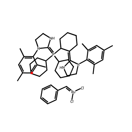 Cc1cc(C)c(N2CCNC2=C2CCCCC2P(=C2NCCN2c2c(C)cc(C)cc2C)(C2CCCCC2)C2CCCCC2)c(C)c1.[Cl][Ru]([Cl])=[CH]c1ccccc1